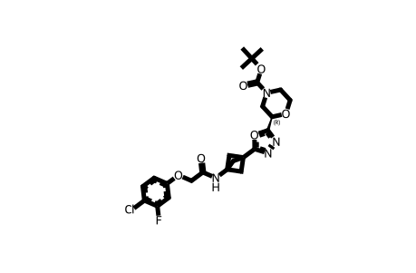 CC(C)(C)OC(=O)N1CCO[C@@H](c2nnc(C34CC(NC(=O)COc5ccc(Cl)c(F)c5)(C3)C4)o2)C1